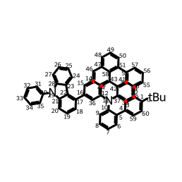 CC(C)(C)c1ccc(-c2ccccc2N(c2cccc(-c3cccc4c3c3ccccc3n4-c3ccccc3)c2)c2ccccc2-c2cccc3cccc(-c4ccccc4)c23)cc1